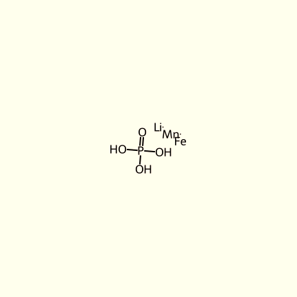 O=P(O)(O)O.[Fe].[Li].[Mn]